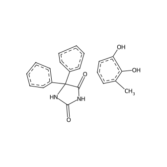 Cc1cccc(O)c1O.O=C1NC(=O)C(c2ccccc2)(c2ccccc2)N1